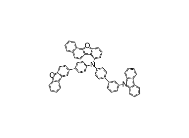 c1cc(-c2ccc(N(c3ccc(-c4ccc5oc6ccccc6c5c4)cc3)c3cccc4oc5c6ccccc6ccc5c34)cc2)cc(-n2c3ccccc3c3ccccc32)c1